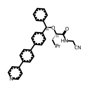 CC(C)C[C@H](O[C@H](c1ccccc1)c1ccc(-c2ccc(-c3ccncc3)cc2)cc1)C(=O)NCC#N